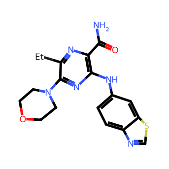 CCc1nc(C(N)=O)c(Nc2ccc3ncsc3c2)nc1N1CCOCC1